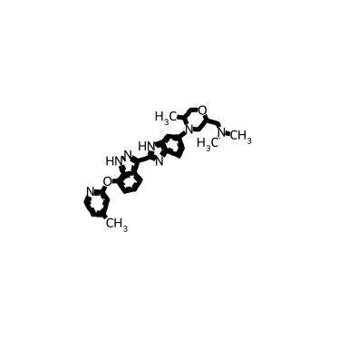 Cc1ccnc(Oc2cccc3c(-c4nc5ccc(N6CC(CN(C)C)OCC6C)cc5[nH]4)n[nH]c23)c1